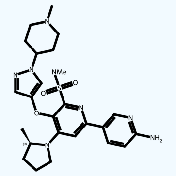 CNS(=O)(=O)c1nc(-c2ccc(N)nc2)cc(N2CCC[C@H]2C)c1Oc1cnn(C2CCN(C)CC2)c1